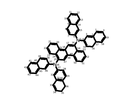 C1=CC2=CC(N(c3ccc4ccccc4c3)c3cc4c5ccccc5c(N(c5ccc6c(c5)C=CCC6)c5ccc6ccccc6c5)cc4c4ccccc34)=CCC2C=C1